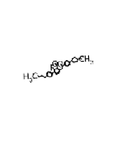 CCCCCc1ccc(-c2ccc3c(c2F)C(=O)OC(c2ccc(C4CCC(CC)CC4)cc2)C3)cc1